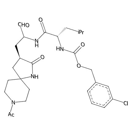 CC(=O)N1CCC2(CC1)C[C@@H](CC(C=O)NC(=O)[C@H](CC(C)C)NC(=O)OCc1cccc(Cl)c1)C(=O)N2